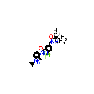 CC(C)(C)C(=O)NCc1ccc(C(F)(F)F)c(C(=O)Nc2cccc3c2cnn3C2CC2)c1